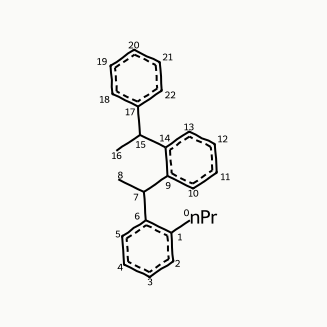 CCCc1ccccc1C(C)c1ccccc1C(C)c1ccccc1